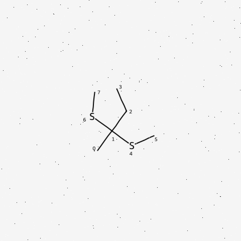 [CH2]C(CC)(SC)SC